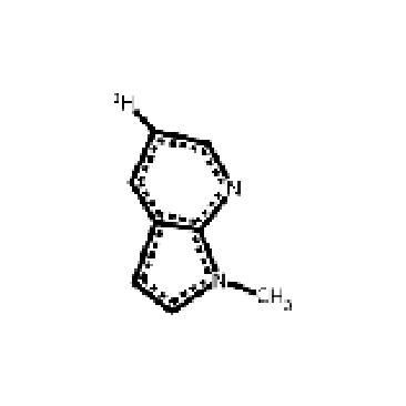 [2H]c1cnc2c(ccn2C)c1